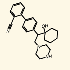 N#Cc1ccccc1-c1ccc(C(CN2CCNCC2)C2(O)CCCCC2)cc1